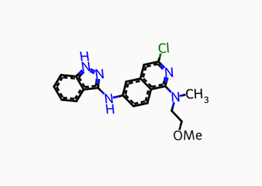 COCCN(C)c1nc(Cl)cc2cc(Nc3n[nH]c4ccccc34)ccc12